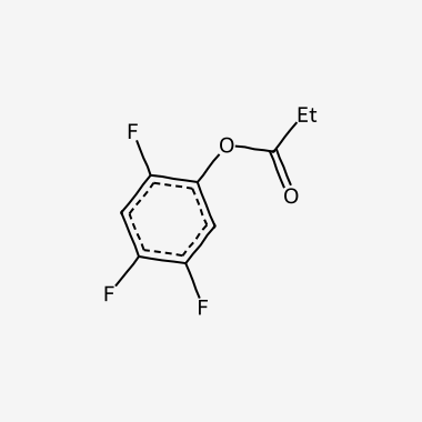 CCC(=O)Oc1cc(F)c(F)cc1F